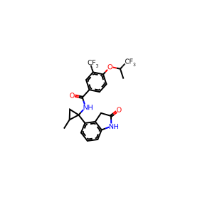 CC(Oc1ccc(C(=O)NC2(c3cccc4c3CC(=O)N4)CC2C)cc1C(F)(F)F)C(F)(F)F